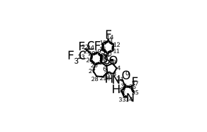 O=C(N[C@@H]1CC[C@@]2(S(=O)(=O)c3ccc(F)cc3)c3ccc(C(F)(C(F)(F)F)C(F)(F)F)cc3CCC[C@@H]12)c1ccncc1F